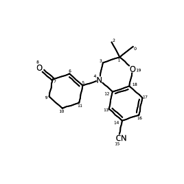 CC1(C)CN(C2=CC(=O)CCC2)c2cc(C#N)ccc2O1